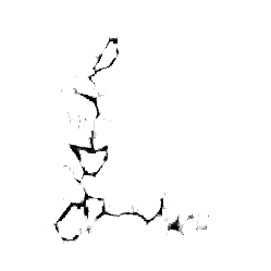 CCOC(=O)CCCc1cc(C(=O)c2cccc(NCC(=O)OCc3ccccc3)c2)c2ccccn12